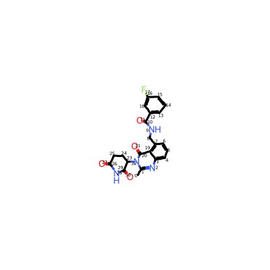 Cc1nc2cccc(CNC(=O)c3cccc(F)c3)c2c(=O)n1C1CCC(=O)NC1=O